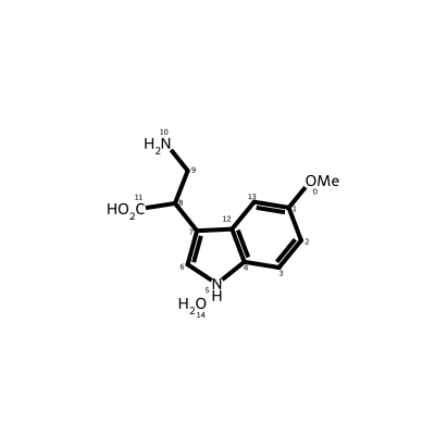 COc1ccc2[nH]cc(C(CN)C(=O)O)c2c1.O